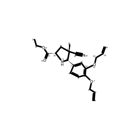 C=CCOc1ccc([C@@H]2N[C@H](C(=O)OCC)C[C@]2(C)C#N)cc1OCC=C